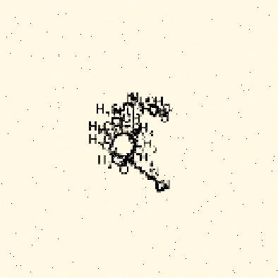 CO[C@]1(C)C[C@@H](C)C(=O)[C@H](C)[C@H]2N(CCCCn3cnc(-c4cccnc4)c3)C(=O)O[C@]2(C)[C@@H](I)OC(=O)[C@H](C)C(=O)[C@H](C)[C@H]1O[C@@H]1O[C@H](C)C[C@H](N(C)CCc2cn([C@H](CO)[C@H](O)c3ccc([N+](=O)[O-])cc3)nn2)[C@H]1O